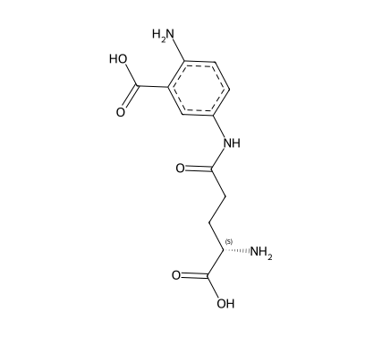 Nc1ccc(NC(=O)CC[C@H](N)C(=O)O)cc1C(=O)O